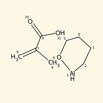 C1C[CH2][AlH][O]C1.C=C(C)C(=O)O